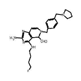 Nc1nc2c(c(NCCCCF)n1)C(C=O)N(Cc1ccc(CN3CCCC3)cc1)C=C2